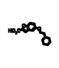 O=C(O)c1cc2cc(OCCC3CCCCC3)ccc2o1